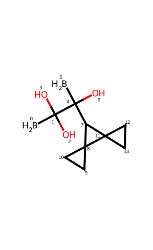 BC(O)(O)C(B)(O)C1C2(CC2)C12CC2